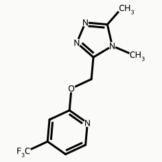 Cc1nnc(COc2cc(C(F)(F)F)ccn2)n1C